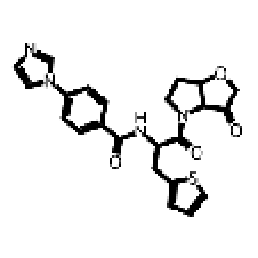 O=C(NC(Cc1cccs1)C(=O)N1CCC2OCC(=O)C21)c1ccc(-n2ccnc2)cc1